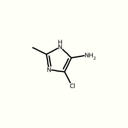 Cc1nc(Cl)c(N)[nH]1